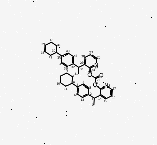 CC(c1ccc(C2CCCCC2)cc1)c1cccnc1OC(=O)Oc1ncccc1C(C)c1ccc(C2CCCCC2)cc1